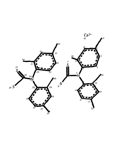 Cc1ccc(N(C(=S)[S-])c2ccc(C)cc2C)c(C)c1.Cc1ccc(N(C(=S)[S-])c2ccc(C)cc2C)c(C)c1.[Ca+2]